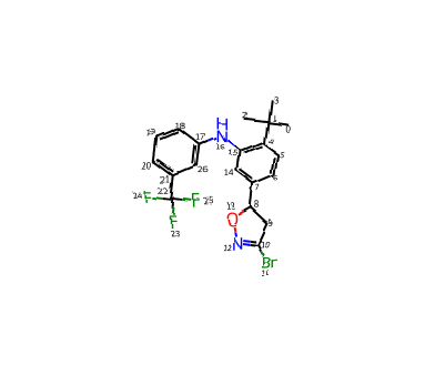 CC(C)(C)c1ccc(C2CC(Br)=NO2)cc1Nc1cccc(C(F)(F)F)c1